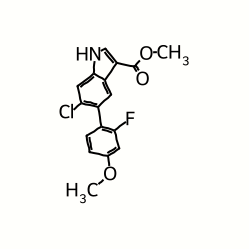 COC(=O)c1c[nH]c2cc(Cl)c(-c3ccc(OC)cc3F)cc12